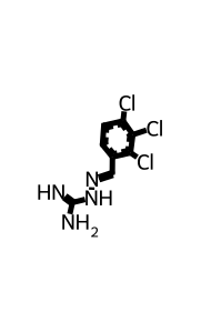 N=C(N)N/N=C/c1ccc(Cl)c(Cl)c1Cl